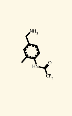 Cc1cc(CN)ccc1NC(=O)C(F)(F)F